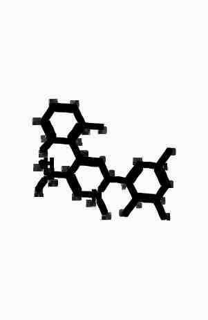 Cc1cc(C)c(C)c(C2C=C(c3c(C)cccc3C)C([SiH](C)C)=CN2C)c1